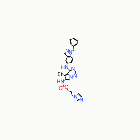 CCc1c(NC(=O)OCCCn2ccnc2)cn2ncnc(Nc3ccc4c(cnn4Cc4ccccc4)c3)c12